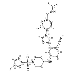 Cc1nc(CNC(C)C)ccc1-n1cc(-c2nc(NC3CCN(S(=O)(=O)c4cn(C)cn4)CC3)ncc2C#N)cn1